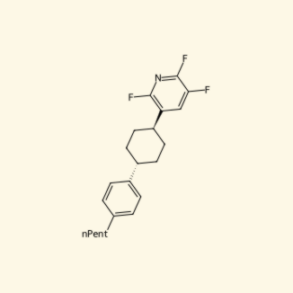 CCCCCc1ccc([C@H]2CC[C@H](c3cc(F)c(F)nc3F)CC2)cc1